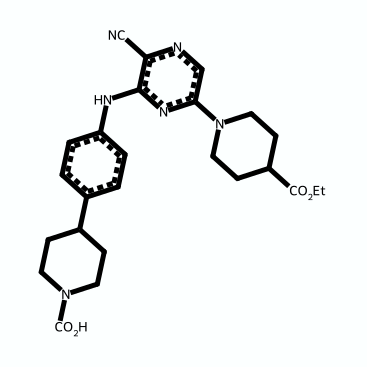 CCOC(=O)C1CCN(c2cnc(C#N)c(Nc3ccc(C4CCN(C(=O)O)CC4)cc3)n2)CC1